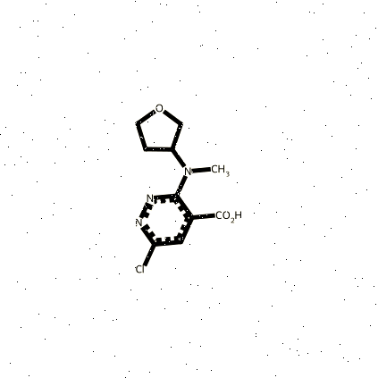 CN(c1nnc(Cl)cc1C(=O)O)C1CCOC1